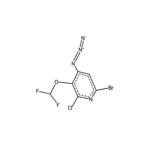 [N-]=[N+]=Nc1cc(Br)nc(Cl)c1OC(F)F